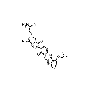 CC(C)COc1cccc2nc(Cn3cccc(NC(=O)[C@H](CC/C=C/C(N)=O)NC(=O)O)c3=O)[nH]c12